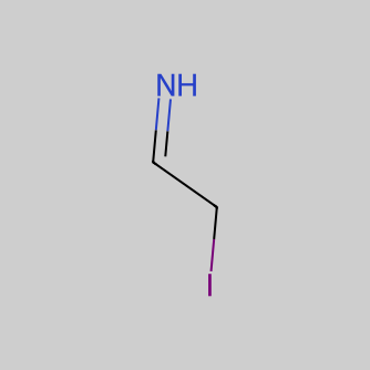 N=CCI